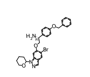 N[C@@H](COc1cc2c(cnn2C2CCCCO2)cc1Br)c1ccc(OCc2ccccc2)cc1